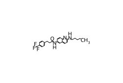 CCCCCNc1ccc2cc(NC(=O)CCc3ccc(C(F)(F)F)cc3)ccc2n1